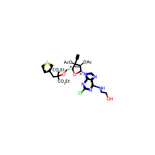 C#C[C@@]1(OC(C)=O)[C@@H](COC(Cc2ccsc2)(C(=O)OCC)C(=O)OCC)O[C@@H](n2cnc3c(NCCO)nc(Cl)nc32)[C@@H]1OC(C)=O